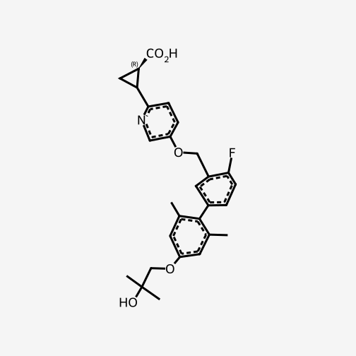 Cc1cc(OCC(C)(C)O)cc(C)c1-c1ccc(F)c(COc2ccc(C3C[C@H]3C(=O)O)nc2)c1